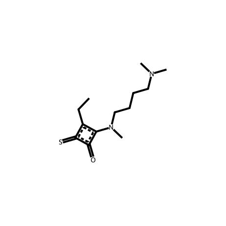 CCc1c(N(C)CCCCN(C)C)c(=O)c1=S